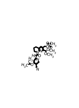 COC(OC)c1nc2c(cc1COS(C)(=O)=O)CCCN2C(=O)Nc1cc(OC(C)C)c(C#N)cn1